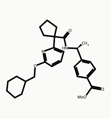 COC(=O)c1ccc([C@H](C)NC(=O)C2(c3cccc(OCC4CCCCC4)n3)CCCC2)cc1